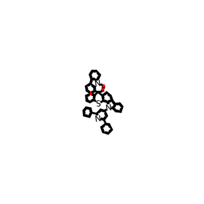 c1ccc(-c2cc(-n3c4ccccc4c4ccc5c(c43)Sc3ccccc3C53c4ccccc4-n4c5ccccc5c5cccc3c54)cc(-c3ccccc3)n2)cc1